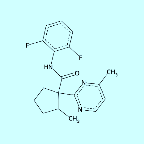 Cc1ccnc(C2(C(=O)Nc3c(F)cccc3F)CCCC2C)n1